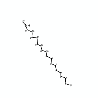 [CH2]CCCCCCCCCCCCCCCCCNC